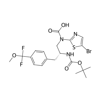 COC(F)(F)c1ccc(C[C@H](CN(C(=O)O)c2ncc(Br)s2)NC(=O)OC(C)(C)C)cc1